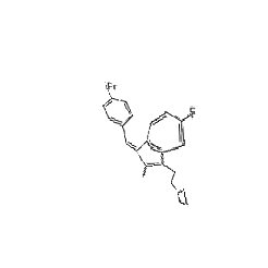 CC1=C(CCCl)c2cc(F)ccc2/C1=C\c1ccc(C(C)C)cc1